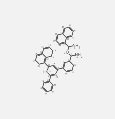 NC(OC(N)C1C=C(C2=CC(C3=C4CCC=CC4=CCC3)NC(c3ccccc3)=N2)C=CC1)c1cccc2ccccc12